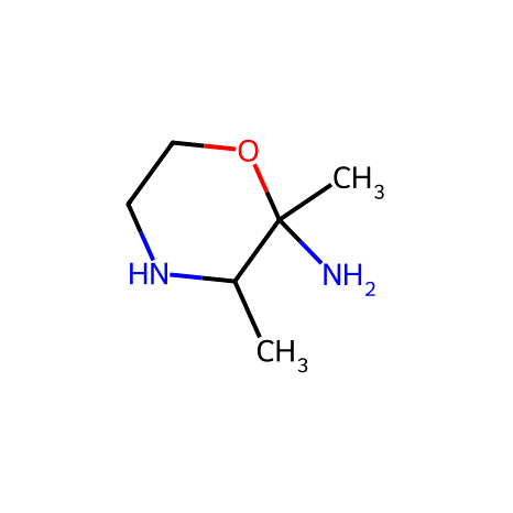 CC1NCCOC1(C)N